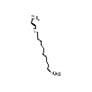 CC=COCCCCCCCCCCCCCCCCCC